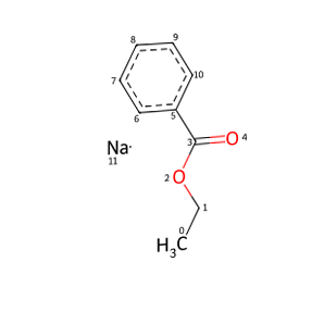 CCOC(=O)c1ccccc1.[Na]